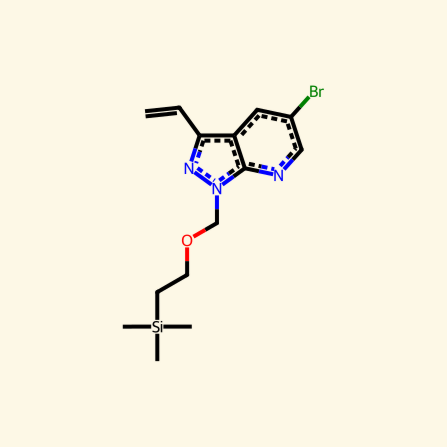 C=Cc1nn(COCC[Si](C)(C)C)c2ncc(Br)cc12